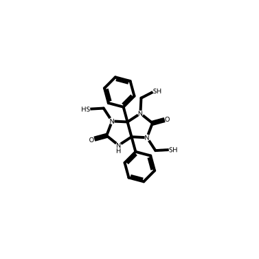 O=C1NC2(c3ccccc3)N(CS)C(=O)N(CS)C2(c2ccccc2)N1CS